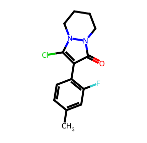 Cc1ccc(-c2c(Cl)n3n(c2=O)CCCC3)c(F)c1